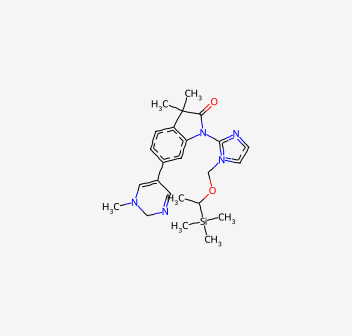 CC(OCn1ccnc1N1C(=O)C(C)(C)c2ccc(C3=CN(C)CN=C3)cc21)[Si](C)(C)C